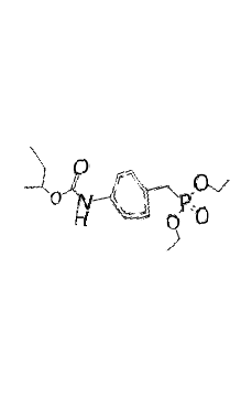 CCOP(=O)(Cc1ccc(NC(=O)OC(C)CC)cc1)OCC